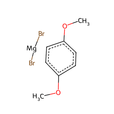 COc1ccc(OC)cc1.[Br][Mg][Br]